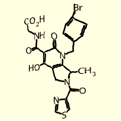 CC1c2c(c(O)c(C(=O)NCC(=O)O)c(=O)n2Cc2ccc(Br)cc2)CN1C(=O)c1cscn1